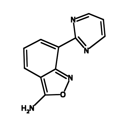 Nc1onc2c(-c3ncccn3)cccc12